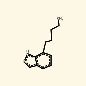 CCCCCc1cccc2cn[nH]c12